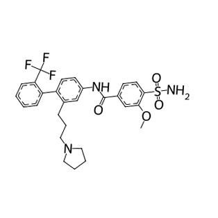 COc1cc(C(=O)Nc2ccc(-c3ccccc3C(F)(F)F)c(CCCN3CCCC3)c2)ccc1S(N)(=O)=O